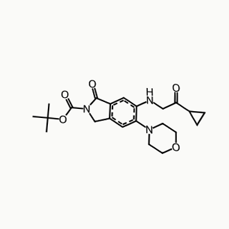 CC(C)(C)OC(=O)N1Cc2cc(N3CCOCC3)c(NCC(=O)C3CC3)cc2C1=O